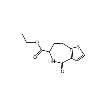 CCOC(=O)C1CCc2sccc2C(=O)N1